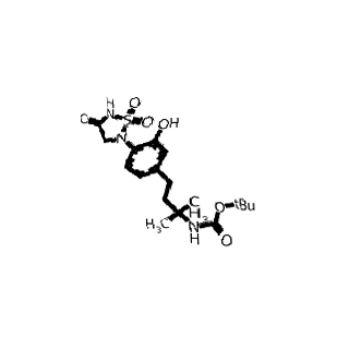 CC(C)(CCc1ccc(N2CC(=O)NS2(=O)=O)c(O)c1)NC(=O)OC(C)(C)C